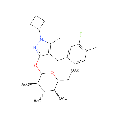 CC(=O)OC[C@H]1OC(Oc2nn(C3CCC3)c(C)c2Cc2ccc(C)c(F)c2)[C@H](OC(C)=O)[C@@H](OC(C)=O)[C@@H]1OC(C)=O